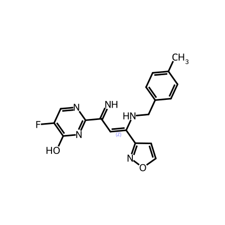 Cc1ccc(CN/C(=C\C(=N)c2ncc(F)c(O)n2)c2ccon2)cc1